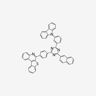 c1cc(-c2nc(-c3ccc(-c4nc5ccccc5c5c4sc4ccccc45)cc3)nc(-c3ccc4ccccc4c3)n2)cc(-n2c3ccccc3c3ccccc32)c1